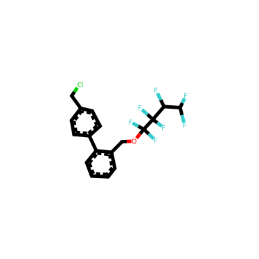 FC(F)C(F)C(F)(F)C(F)(F)OCc1ccccc1-c1ccc(CCl)cc1